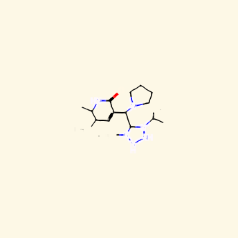 CCCCCCCN1NNN(C(C)CCCC)C1C(C1=CC(C(C)CCC)C(CC)NC1=O)N1CCCC1